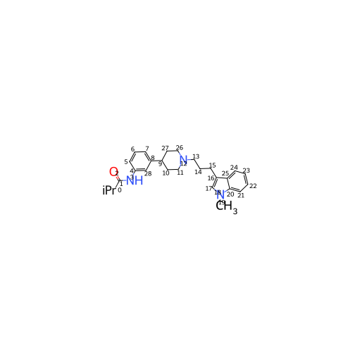 CC(C)C(=O)Nc1cccc(C2CCN(CCCc3cn(C)c4ccccc34)CC2)c1